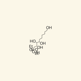 CCO[Si](CC(O)C(O)C(O)CCCCCCO)(OCC)OCC